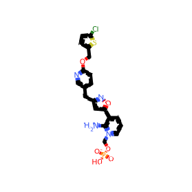 Nc1c(-c2cc(Cc3ccc(OCc4ccc(Cl)s4)nc3)no2)ccc[n+]1COP(=O)([O-])O